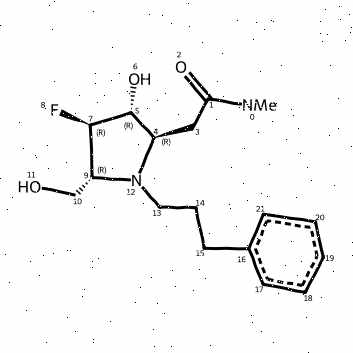 CNC(=O)C[C@@H]1[C@@H](O)[C@H](F)[C@@H](CO)N1CCCc1ccccc1